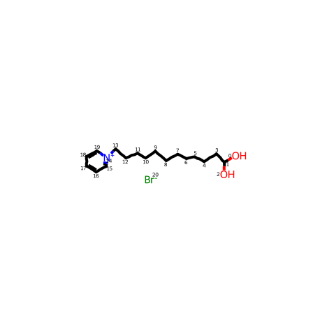 OC(O)CCCCCCCCCCC[n+]1ccccc1.[Br-]